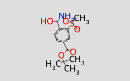 CC(C)(C)OC(=O)c1ccc(C(N)O)c(S(C)(=O)=O)c1